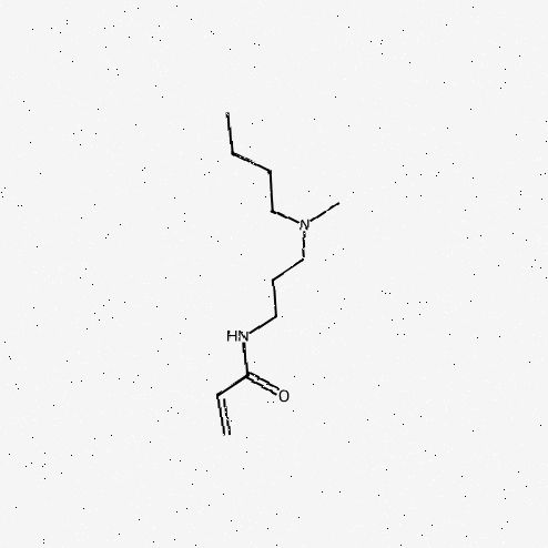 C=CC(=O)NCCCN(C)CCCC